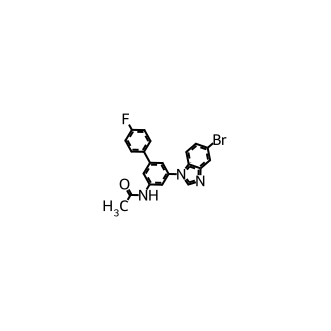 CC(=O)Nc1cc(-c2ccc(F)cc2)cc(-n2cnc3cc(Br)ccc32)c1